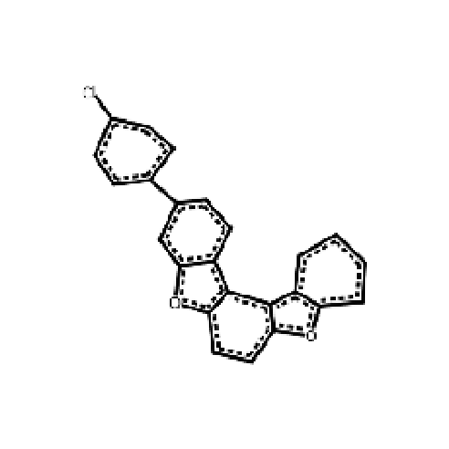 Clc1ccc(-c2ccc3c(c2)oc2ccc4oc5ccccc5c4c23)cc1